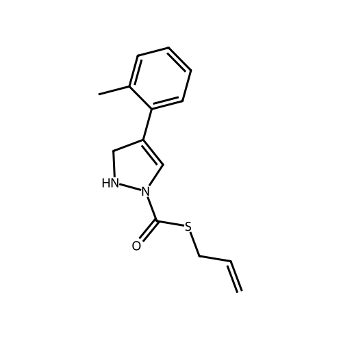 C=CCSC(=O)N1C=C(c2ccccc2C)CN1